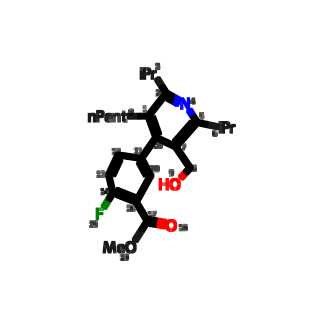 CCCCCc1c(C(C)C)nc(C(C)C)c(CO)c1-c1ccc(F)c(C(=O)OC)c1